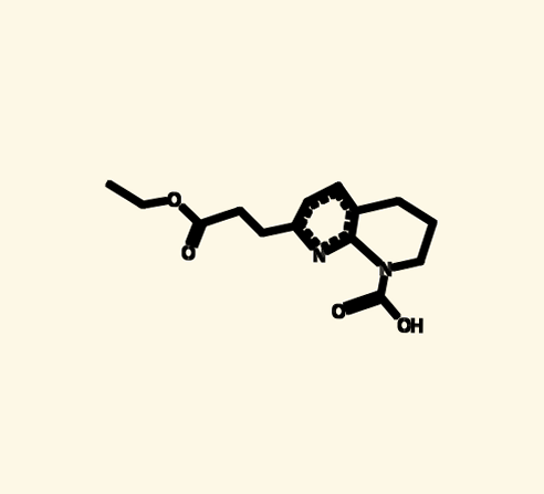 CCOC(=O)CCc1ccc2c(n1)N(C(=O)O)CCC2